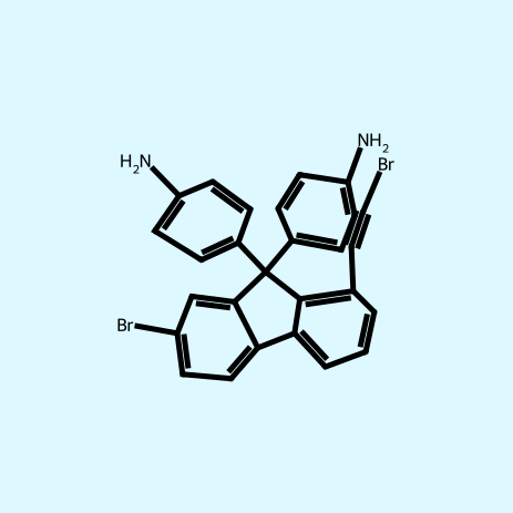 Nc1ccc(C2(c3ccc(N)cc3)c3cc(Br)ccc3-c3cccc(C#CBr)c32)cc1